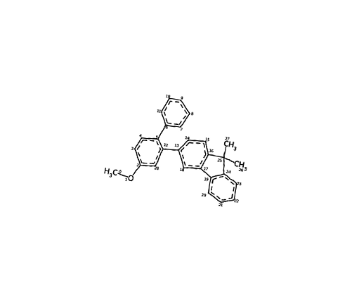 COc1ccc(-c2ccccc2)c(-c2ccc3c(c2)-c2ccccc2C3(C)C)c1